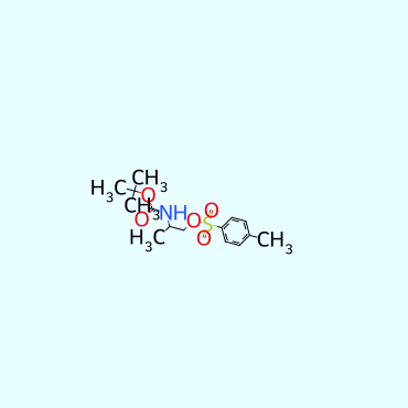 Cc1ccc(S(=O)(=O)OCC(C)NC(=O)OC(C)(C)C)cc1